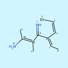 C/C=C(\C=C/CC)C(=N)/C(C)=C(\C)N